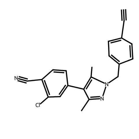 C#Cc1ccc(Cn2nc(C)c(-c3ccc(C#N)c(Cl)c3)c2C)cc1